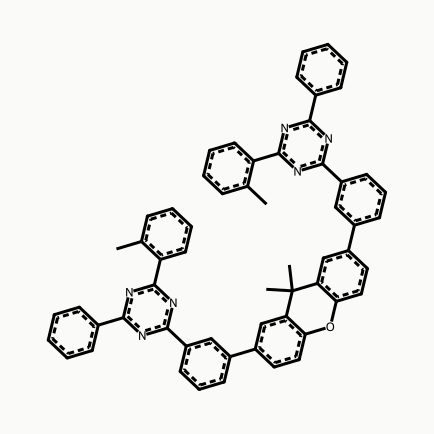 Cc1ccccc1-c1nc(-c2ccccc2)nc(-c2cccc(-c3ccc4c(c3)C(C)(C)c3cc(-c5cccc(-c6nc(-c7ccccc7)nc(-c7ccccc7C)n6)c5)ccc3O4)c2)n1